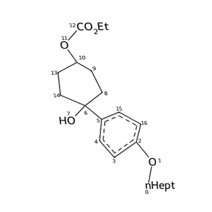 CCCCCCCOc1ccc(C2(O)CCC(OC(=O)OCC)CC2)cc1